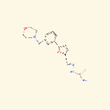 NC(=S)N/N=C/c1ccc(-c2cccc(CN3CCOCC3)c2)o1